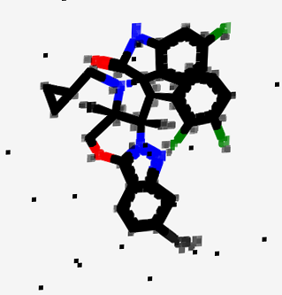 O=C(O)c1ccc2c3n(nc2c1)[C@@H]1[C@H](CO3)N(CC2CC2)[C@@]2(C(=O)Nc3cc(Cl)ccc32)[C@H]1c1cccc(Cl)c1F